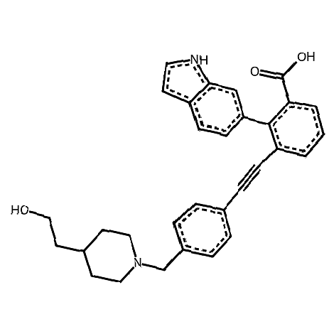 O=C(O)c1cccc(C#Cc2ccc(CN3CCC(CCO)CC3)cc2)c1-c1ccc2cc[nH]c2c1